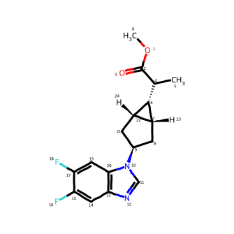 COC(=O)C(C)[C@@H]1[C@@H]2C[C@@H](n3cnc4cc(F)c(F)cc43)C[C@@H]21